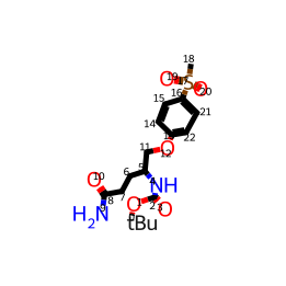 CC(C)(C)OC(=O)NC(CCC(N)=O)COc1ccc(S(C)(=O)=O)cc1